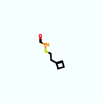 O=CPSCCC1=CCC1